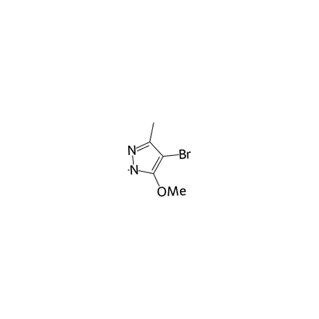 COC1=C(Br)C(C)=N[N]1